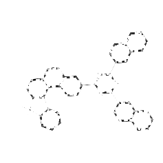 CC1(C)c2ccccc2-c2c1ccc1ccc3cc(-c4nc(-c5ccc6ccccc6c5)nc(-c5ccc6ccccc6c5)n4)ccc3c21